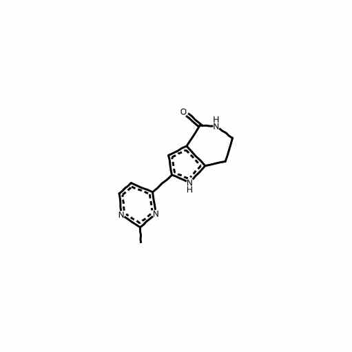 Cc1nccc(-c2cc3c([nH]2)CCNC3=O)n1